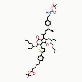 C#C/C(=C\C=C(/C)C1=C2C(=O)CC(CC(CC)CCCC)C(c3ccc(-c4ccc(CCCCC(=O)OC(C)(C)C)cc4)s3)=C2C(=O)C1CC(CC)CCCCC)c1ccc(CCNC(=O)OC(C)(C)C)cc1